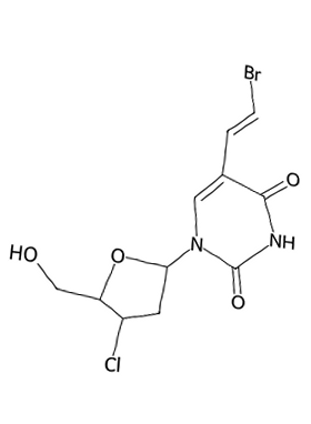 O=c1[nH]c(=O)n(C2CC(Cl)C(CO)O2)cc1/C=C/Br